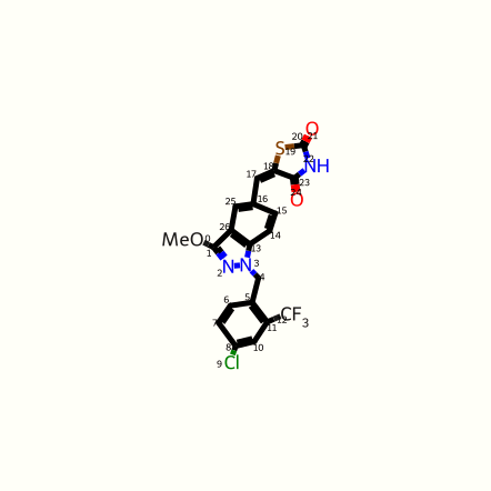 COc1nn(Cc2ccc(Cl)cc2C(F)(F)F)c2ccc(C=C3SC(=O)NC3=O)cc12